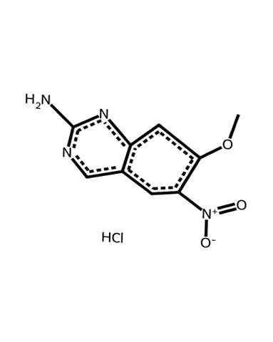 COc1cc2nc(N)ncc2cc1[N+](=O)[O-].Cl